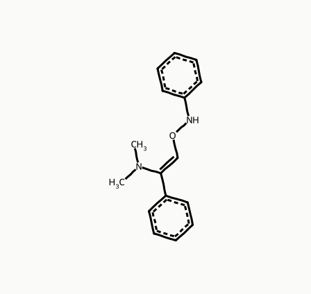 CN(C)C(=CONc1ccccc1)c1ccccc1